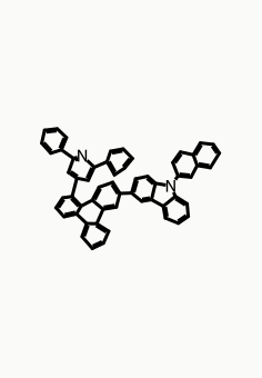 c1ccc(-c2cc(-c3cccc4c5ccccc5c5cc(-c6ccc7c(c6)c6ccccc6n7-c6ccc7ccccc7c6)ccc5c34)cc(-c3ccccc3)n2)cc1